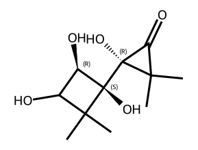 CC1(C)C(=O)[C@]1(O)[C@@]1(O)[C@H](O)C(O)C1(C)C